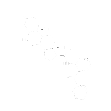 C[C@]12CCC(=O)C=C1NCC1C2CC[C@@]2(C)C1CC[C@@H]2C(=O)Nc1ccccc1C(=O)c1ccccc1